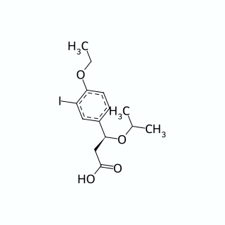 CCOc1ccc([C@H](CC(=O)O)OC(C)C)cc1I